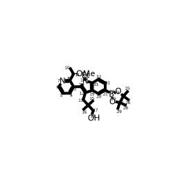 CCn1c(-c2cccnc2[C@H](C)OC)c(CC(C)(C)CO)c2cc(B3OC(C)(C)C(C)(C)O3)ccc21